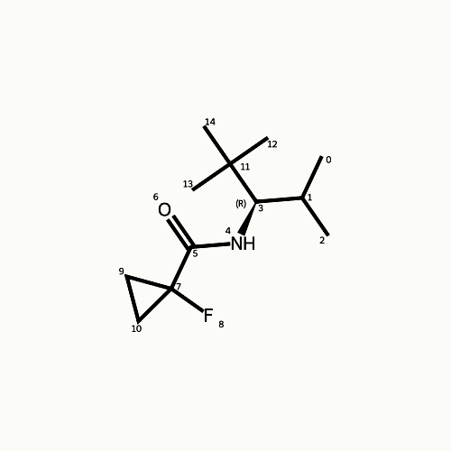 CC(C)[C@@H](NC(=O)C1(F)CC1)C(C)(C)C